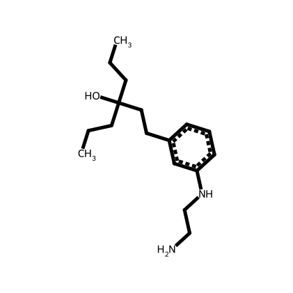 CCCC(O)(CCC)CCc1cccc(NCCN)c1